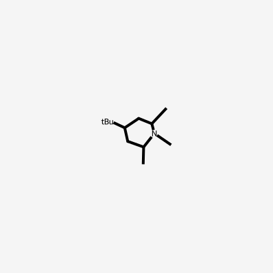 CC1CC(C(C)(C)C)CC(C)N1C